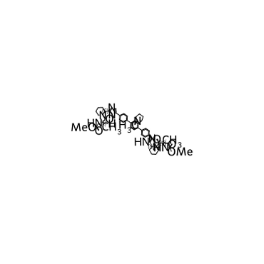 COC(=O)N[C@@H](C)C(=O)N1CCCC[C@H]1c1ncc(-c2ccc(-c3ccc(-c4ccc5nc([C@@H]6CCCCN6C(=O)[C@H](C)NC(=O)OC)[nH]c5c4)c4c3C3CCC4N3C)cc2)[nH]1